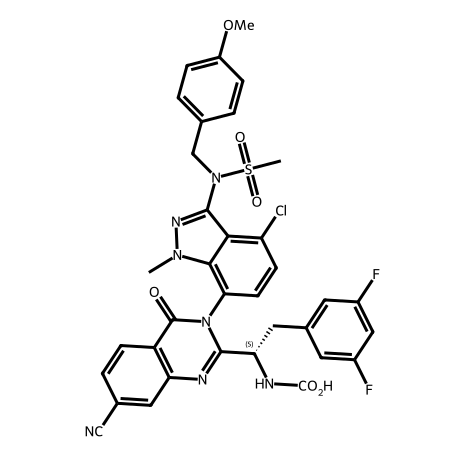 COc1ccc(CN(c2nn(C)c3c(-n4c([C@H](Cc5cc(F)cc(F)c5)NC(=O)O)nc5cc(C#N)ccc5c4=O)ccc(Cl)c23)S(C)(=O)=O)cc1